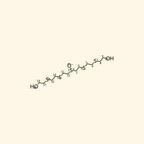 [O-][S+](CCSCCSCCO)CCSCCSCCO